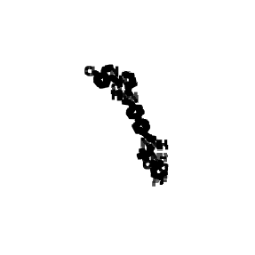 CC1(C(=O)N[C@H](c2nc(-c3ccc(-c4ccc(-c5c[nH]c(C6CCCN6C(=O)c6nccc7c(Cl)cccc67)n5)cc4)cc3)c[nH]2)C(C)(C)C)CCC(F)(F)CO1